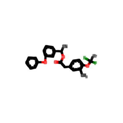 Cc1cc(CC(=O)OC(C#N)c2cccc(Oc3ccccc3)c2)ccc1OC(F)(F)C(C)C